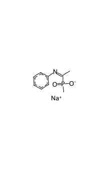 CC(=Nc1ccccc1)P(C)(=O)[O-].[Na+]